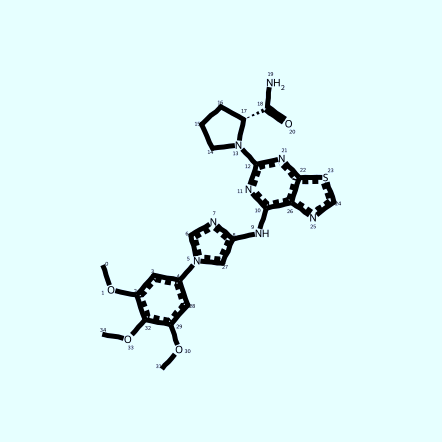 COc1cc(-n2cnc(Nc3nc(N4CCC[C@@H]4C(N)=O)nc4scnc34)c2)cc(OC)c1OC